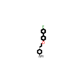 CCC[C@H]1CC[C@H](CCCOc2ccc(-c3ccc(F)cc3)cc2)CC1